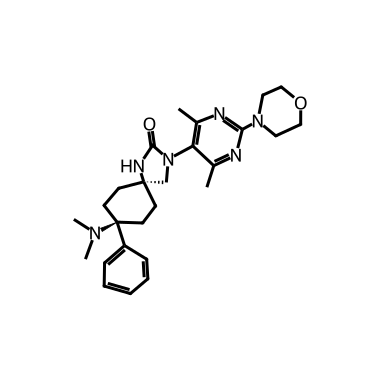 Cc1nc(N2CCOCC2)nc(C)c1N1C[C@]2(CC[C@](c3ccccc3)(N(C)C)CC2)NC1=O